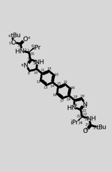 CC(C)[C@H](NC(=O)OC(C)(C)C)C1=NCC(c2ccc(-c3ccc(-c4cnc([C@@H](NC(=O)C(C)(C)C)C(C)C)[nH]4)cc3)cc2)N1